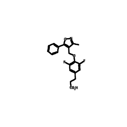 Cc1noc(-c2ccccc2)c1COc1c(F)cc(CCC(=O)O)cc1F